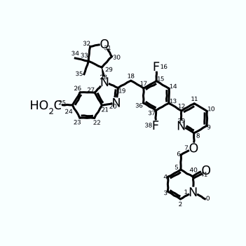 Cn1cccc(COc2cccc(-c3cc(F)c(Cc4nc5ccc(C(=O)O)cc5n4[C@@H]4COCC4(C)C)cc3F)n2)c1=O